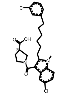 Cn1c(CCCCCCc2cccc(Cl)c2)c(C(=O)N2CC[C@@H](C(=O)O)C2)c2cc(Cl)ccc21